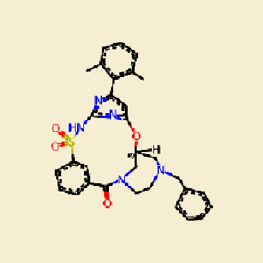 Cc1cccc(C)c1-c1cc2nc(n1)NS(=O)(=O)c1cccc(c1)C(=O)N1CCN(Cc3ccccc3)C[C@H](C1)O2